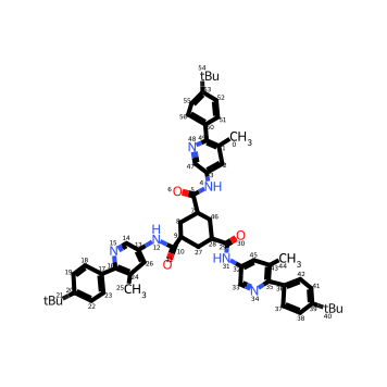 Cc1cc(NC(=O)C2CC(C(=O)Nc3cnc(-c4ccc(C(C)(C)C)cc4)c(C)c3)CC(C(=O)Nc3cnc(-c4ccc(C(C)(C)C)cc4)c(C)c3)C2)cnc1-c1ccc(C(C)(C)C)cc1